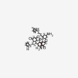 Nc1ccc(C(OC(c2ccc(Cl)cc2Cl)c2ccc(N)cc2CCCCc2ncc[nH]2)c2ccc(Cl)cc2Cl)c(CCCCc2ncc[nH]2)c1